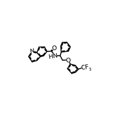 O=C(NC(COc1cccc(C(F)(F)F)c1)c1ccccc1)c1ccc2ncccc2c1